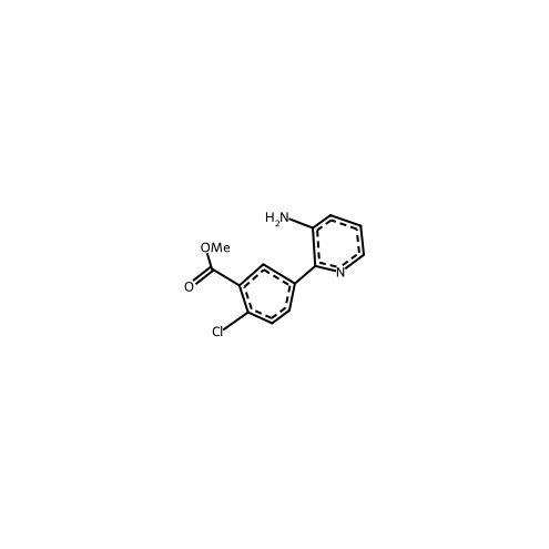 COC(=O)c1cc(-c2ncccc2N)ccc1Cl